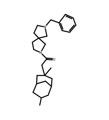 CC1CC2CC(C1)CC(C)(CC(=O)N1CCC3(CCN(Cc4ccccc4)C3)C1)C2